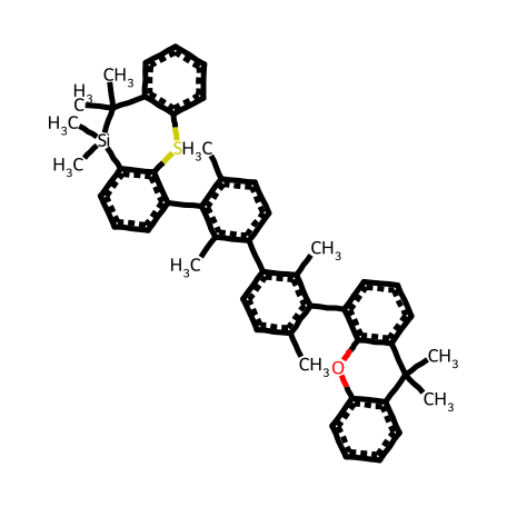 Cc1ccc(-c2ccc(C)c(-c3cccc4c3Sc3ccccc3C(C)(C)[Si]4(C)C)c2C)c(C)c1-c1cccc2c1Oc1ccccc1C2(C)C